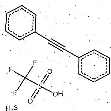 C(#Cc1ccccc1)c1ccccc1.O=S(=O)(O)C(F)(F)F.S